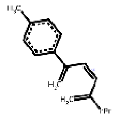 C=C(/C=C\C(=C)c1ccc(C)cc1)CCC